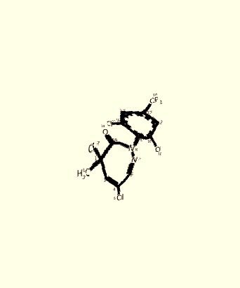 CC1(Cl)C=C(Cl)C=NN(c2c(Cl)cc(C(F)(F)F)cc2Cl)C1=O